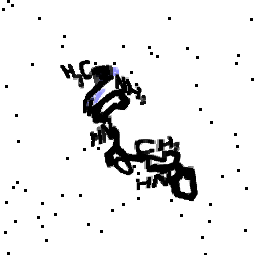 C=C(c1occc1CNc1ccc(N)c(/N=C\C=C/C)c1)N1CCc2c([nH]c3ccccc23)C1